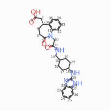 O=C(O)C[C@@H]1CCC(=O)N(CC(=O)NCC2CCC(Nc3nc4ccccc4[nH]3)CC2)c2ccccc21